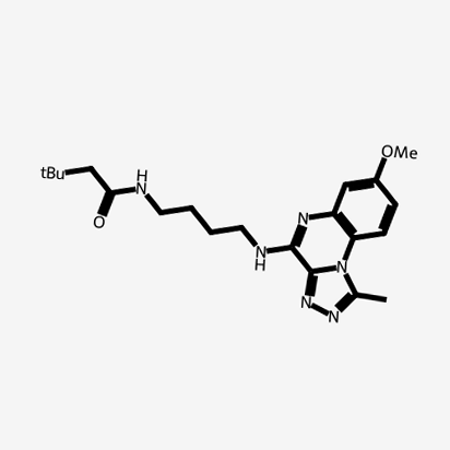 COc1ccc2c(c1)nc(NCCCCNC(=O)CC(C)(C)C)c1nnc(C)n12